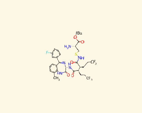 Cc1cccc2c1NC(=O)[C@@H](NC(=O)[C@H](CCC(F)(F)F)[C@H](CCC(F)(F)F)C(=O)NSC[C@H](N)C(=O)OC(C)(C)C)N=C2c1cccc(F)c1